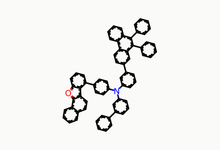 c1ccc(-c2cccc(N(c3ccc(-c4cccc5oc6c7ccccc7ccc6c45)cc3)c3cccc(-c4ccc5c(c4)c(-c4ccccc4)c(-c4ccccc4)c4ccccc45)c3)c2)cc1